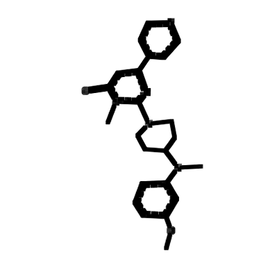 COc1cccc(N(C)C2CCN(c3nc(-c4ccncc4)cc(=O)n3C)CC2)c1